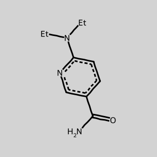 CCN(CC)c1ccc(C(N)=O)cn1